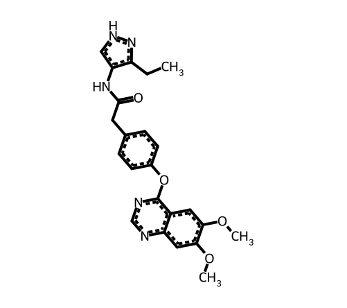 CCc1n[nH]cc1NC(=O)Cc1ccc(Oc2ncnc3cc(OC)c(OC)cc23)cc1